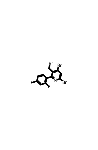 Fc1ccc(-c2nc(Br)cc(Br)c2CBr)c(F)c1